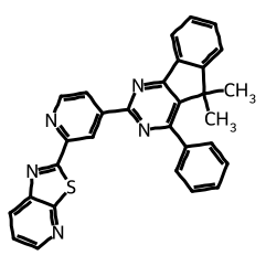 CC1(C)c2ccccc2-c2nc(-c3ccnc(-c4nc5cccnc5s4)c3)nc(-c3ccccc3)c21